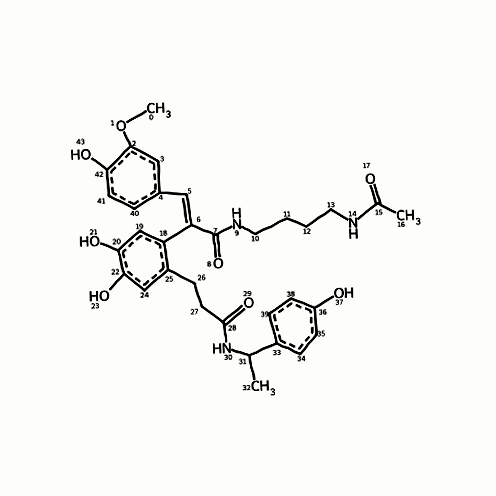 COc1cc(/C=C(/C(=O)NCCCCNC(C)=O)c2cc(O)c(O)cc2CCC(=O)NC(C)c2ccc(O)cc2)ccc1O